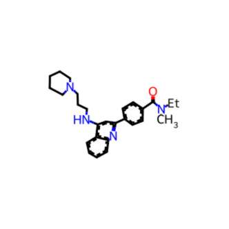 CCN(C)C(=O)c1ccc(-c2cc(NCCCN3CCCCC3)c3ccccc3n2)cc1